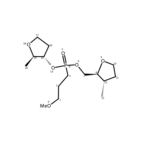 COCCCP(=O)(OC[C@H]1OCC[C@@H]1C)O[C@H]1CCO[C@@H]1C